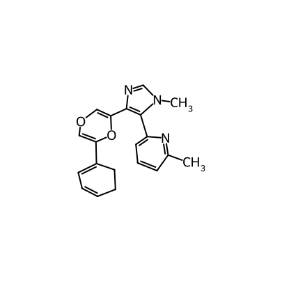 Cc1cccc(-c2c(C3=COC=C(C4=CC=CCC4)O3)ncn2C)n1